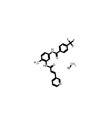 CBr.Cc1ccc(NC(=O)c2ccc(C(F)(F)F)cc2)cc1NC(=O)C=Cc1cccnc1